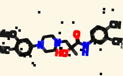 COc1cc(N2CCN(CC(C)(O)C(=O)Nc3ccc(C#N)c(C(F)(F)F)c3)CC2)ccc1C#N